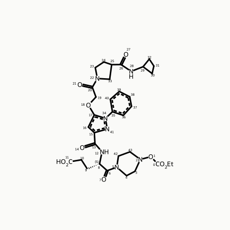 CCOC(=O)ON1CCN(C(=O)[C@H](CCC(=O)O)NC(=O)c2cc(OCC(=O)N3CCC(C(=O)NC4CCC4)C3)n(-c3ccccc3)n2)CC1